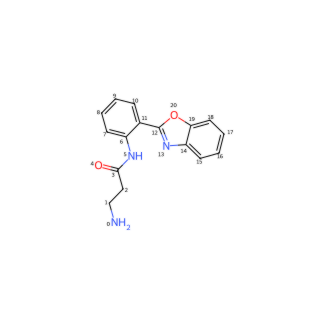 NCCC(=O)Nc1ccccc1-c1nc2ccccc2o1